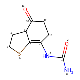 NC(=O)NC1=C2SCCC2C(=O)CC1